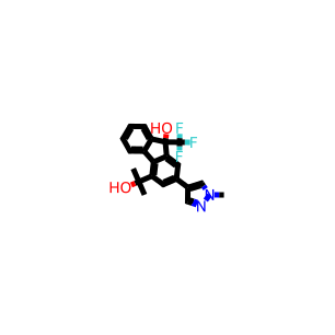 Cn1cc(-c2cc(C(C)(C)O)c3c(c2)C(O)(C(F)(F)F)c2ccccc2-3)cn1